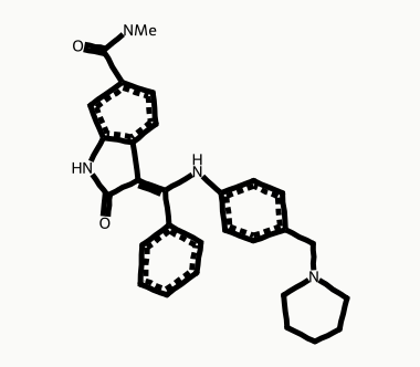 CNC(=O)c1ccc2c(c1)NC(=O)C2=C(Nc1ccc(CN2CCCCC2)cc1)c1ccccc1